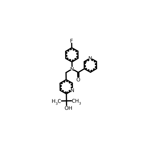 CC(C)(O)c1ccc(CN(C(=O)c2cccnc2)c2ccc(F)cc2)cn1